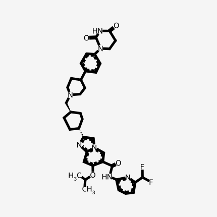 CC(C)Oc1cc2nc([C@H]3CC[C@H](CN4CCC(c5ccc(N6CCC(=O)NC6=O)cc5)CC4)CC3)cn2cc1C(=O)Nc1cccc(C(F)F)n1